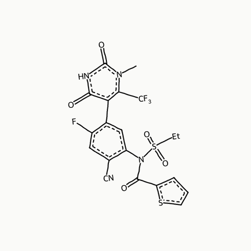 CCS(=O)(=O)N(C(=O)c1cccs1)c1cc(-c2c(C(F)(F)F)n(C)c(=O)[nH]c2=O)c(F)cc1C#N